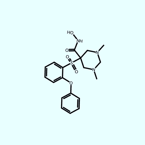 CN1CN(C)CC(C(=O)NO)(S(=O)(=O)c2ccccc2Oc2ccccc2)C1